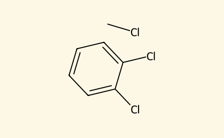 CCl.Clc1ccccc1Cl